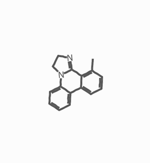 Cc1cccc2c1C1=NCCN1c1ccccc1-2